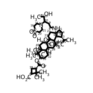 C=C(C)[C@@H]1CC[C@]2(NCCC(C(C)O)N3CCS(=O)(=O)CC3)CC[C@]3(C)[C@H](CC[C@@H]4[C@@]5(C)CC[C@H](OC(=O)[C@@H]6C[C@H](C(=O)O)C6(C)C)C(C)(C)[C@@H]5CC[C@]43C)[C@@H]12